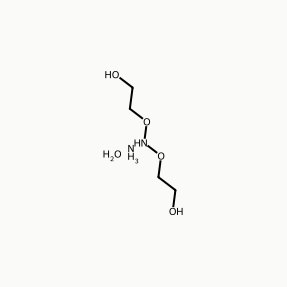 N.O.OCCONOCCO